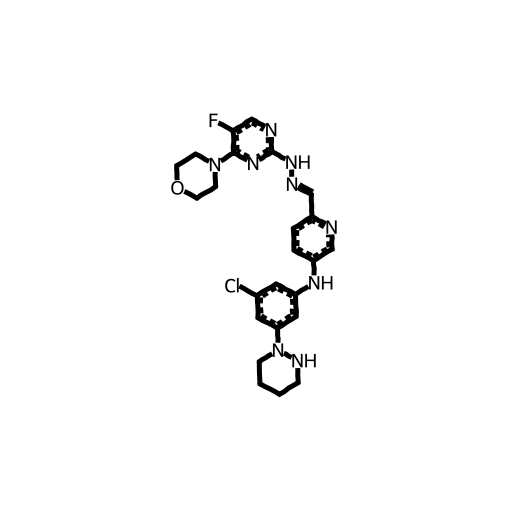 Fc1cnc(N/N=C/c2ccc(Nc3cc(Cl)cc(N4CCCCN4)c3)cn2)nc1N1CCOCC1